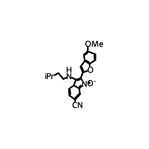 COc1ccc2oc(C3=C(NCCC(C)C)C4C=CC(C#N)=CC4=[N+]3[O-])cc2c1